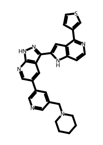 c1cc2[nH]c(-c3n[nH]c4ncc(-c5cncc(CN6CCCCC6)c5)cc34)cc2c(-c2ccsc2)n1